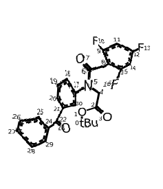 CC(C)(C)OC(=O)CN(C(=O)c1c(F)cc(F)cc1F)c1cccc(C(=O)c2ccccc2)c1